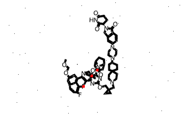 COCOc1cc(-c2ncc3c(N4CC5CCC(C4)N5C(=O)OC(C)(C)C)nc(OCC4(CN5CCC6(CCC(N7CCN(c8ccc9c(c8)CN([C@H]8CCC(=O)NC8=O)C9=O)CC7)CC6)CC5)CC4)nc3c2F)c2c(F)c(F)ccc2c1